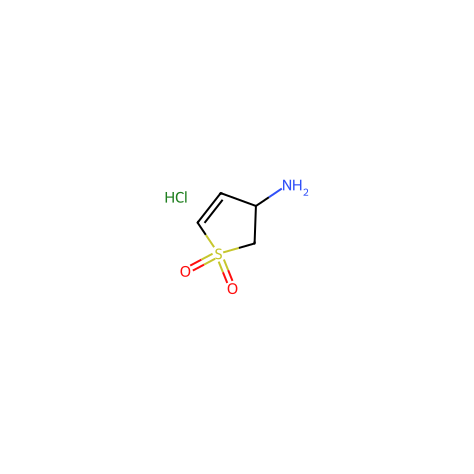 Cl.NC1C=CS(=O)(=O)C1